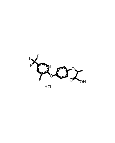 CC(Oc1ccc(Oc2ncc(C(F)(F)F)cc2F)cc1)C(=O)O.Cl